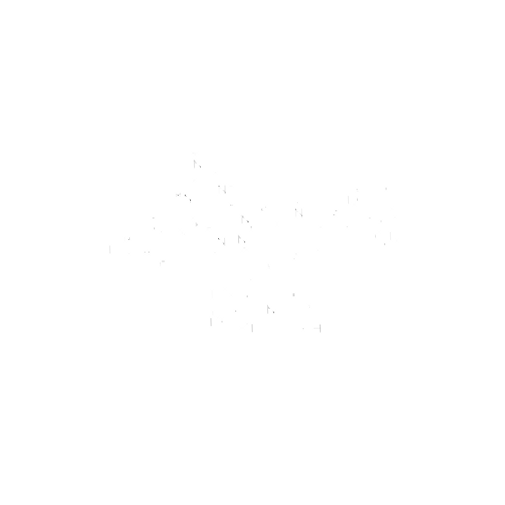 CC(C)(O)c1cccc(CO)n1.COC(C)(C)OCc1cccc(Cn2nnc3c(-c4ccc(C)o4)nc(N)nc32)n1